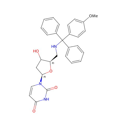 COc1ccc(C(NC[C@H]2O[C@@H](n3ccc(=O)[nH]c3=O)CC2O)(c2ccccc2)c2ccccc2)cc1